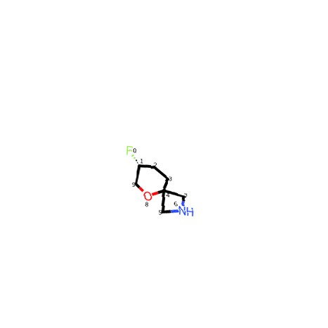 F[C@@H]1CCC2(CNC2)OC1